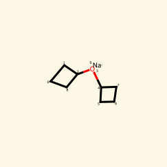 C1CC(OC2CCC2)C1.[Na]